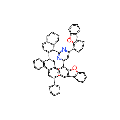 c1ccc(-c2ccc3cc(-c4ccc5ccccc5c4-c4nc(-c5cccc6c5oc5ccccc56)cc(-c5cccc6c5oc5ccccc56)n4)c4ccccc4c3c2)cc1